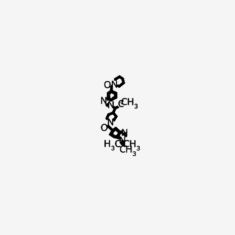 CCCC(C1CCN(C(=O)c2ccc3c(c2)ncn3C(C)(C)C)CC1)n1cnc2cc(C(=O)N3CCCCC3)ccc21